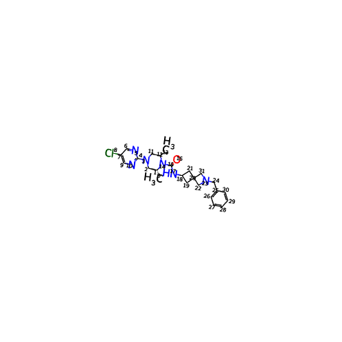 C[C@@H]1CN(c2ncc(Cl)cn2)C[C@@H](C)N1C(=O)NC1CC2(C1)CN(Cc1ccccc1)C2